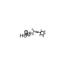 CC(C#Cc1ccccc1)CCOC(=O)O